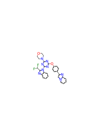 FC(F)c1nc2ccccc2n1-c1nc(Oc2ccc(-c3cn4ccccc4n3)cc2)nc(N2CCOCC2)n1